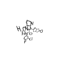 Cn1c(C(=O)Nc2ccc(F)c(Cl)c2)c(C2=CC3CC(=O)CC3C2)c2ncccc21